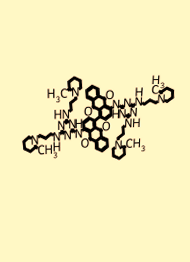 CC1CCCCN1CCCNc1nc(NCCCN2CCCCC2C)nc(Nc2ccc(-c3ccc(Nc4nc(NCCCN5CCCCC5C)nc(NCCCN5CCCCC5C)n4)c4c3C(=O)c3ccccc3C4=O)c3c2C(=O)c2ccccc2C3=O)n1